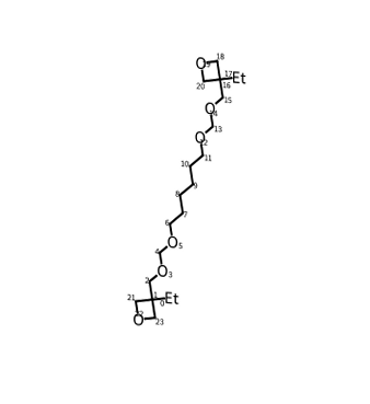 CCC1(COCOCCCCCCOCOCC2(CC)COC2)COC1